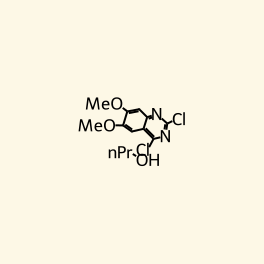 CCCO.COc1cc2nc(Cl)nc(Cl)c2cc1OC